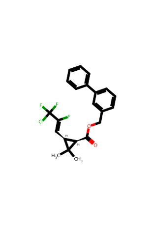 CC1(C)[C@H](C(=O)OCc2cccc(-c3ccccc3)c2)[C@@H]1C=C(F)C(F)(F)Cl